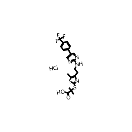 Cc1sc(SC(C)(C)C(=O)O)nc1CCNc1ncc(-c2ccc(C(F)(F)F)cc2)cn1.Cl